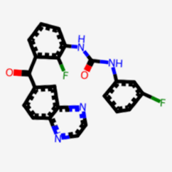 O=C(Nc1cccc(F)c1)Nc1cccc(C(=O)c2ccc3nccnc3c2)c1F